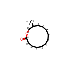 CC1CCCCCCCCCCC(=O)OC1